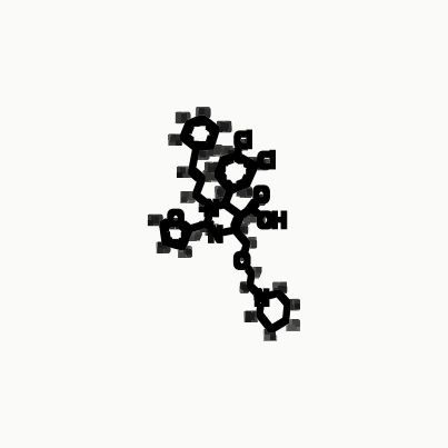 O=C(O)C1=C(COCCN2CCCCC2)N=C(c2ccco2)N(CC=Cc2ccccc2)C1c1ccc(Cl)c(Cl)c1